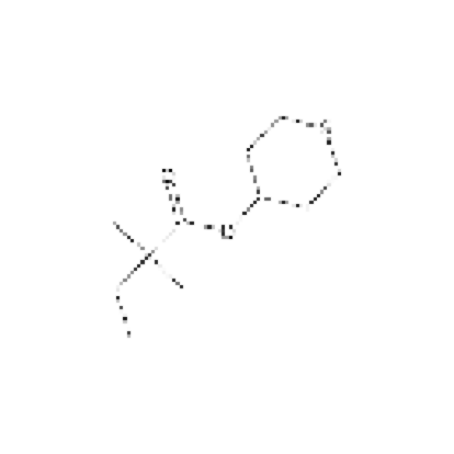 CCC(C)(C)C(=O)OC1CCSCC1